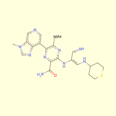 CNc1nc(N/C(C=N)=C/NC2CCSCC2)c(C(N)=O)nc1-c1cncc2c1ncn2C